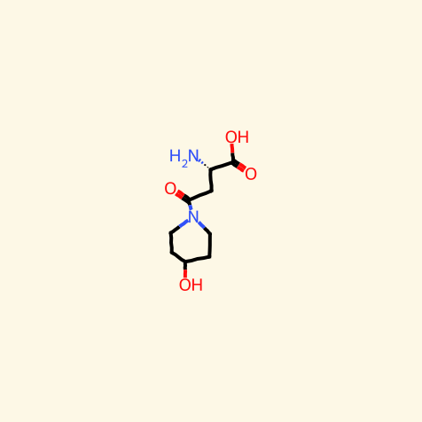 N[C@@H](CC(=O)N1CCC(O)CC1)C(=O)O